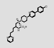 O=C(O)NC(CCCc1ncccn1)CS(=O)(=O)N1CCN(c2ccc(-c3ccc(Cl)cc3)cn2)CC1